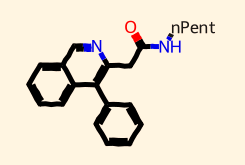 CCCCCNC(=O)Cc1ncc2ccccc2c1-c1ccccc1